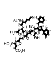 CC(=O)N[C@@H](CCCCN)C(=O)N[C@@H](CC(N)=O)C(=O)N[C@@H](CCN(C(=O)CO)[C@@H](c1cc(-c2cc(F)ccc2F)cn1Cc1ccccc1)C(C)(C)C)C(=O)NCCC(=O)N[C@H](CCC(=O)O)C(=O)O